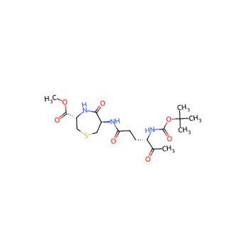 COC(=O)[C@H]1CSC[C@H](NC(=O)CC[C@H](NC(=O)OC(C)(C)C)C(C)=O)C(=O)N1